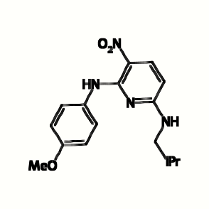 COc1ccc(Nc2nc(NCC(C)C)ccc2[N+](=O)[O-])cc1